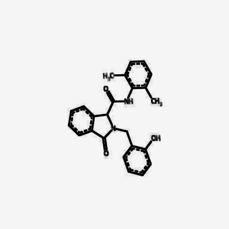 Cc1cccc(C)c1NC(=O)C1c2ccccc2C(=O)N1Cc1ccccc1O